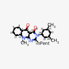 CCCCCc1nc2c(c(=O)c3ccccc3n2C)c(=O)n1-c1cc(C)cc(C)c1